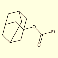 CCC(=O)OC12CC3CC(CC(C3)C1)C2